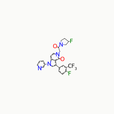 O=C(Cn1ccc2c(c(-c3ccc(F)c(C(F)(F)F)c3)cn2-c2cccnc2)c1=O)N1CCC(F)C1